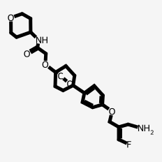 NC/C(=C\F)COc1ccc(C23CCC(OCC(=O)NC4CCOCC4)(CC2)CC3)cc1